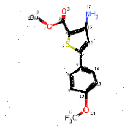 CC(C)(C)OC(=O)c1sc(-c2ccc(OC(F)(F)F)cc2)cc1N